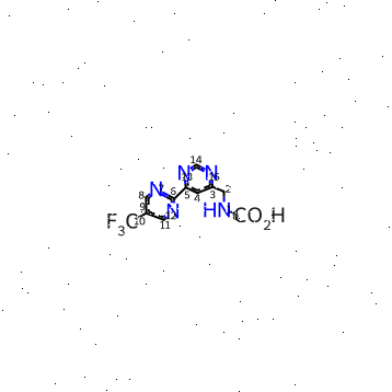 O=C(O)NCc1cc(-c2ncc(C(F)(F)F)cn2)ncn1